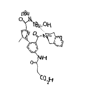 CCCCN(CCCC)C(=O)c1cc(C)n(-c2ccc(NC(=O)CCC(=O)O)cc2C(=O)N2Cc3ccccc3C[C@H]2CO)n1